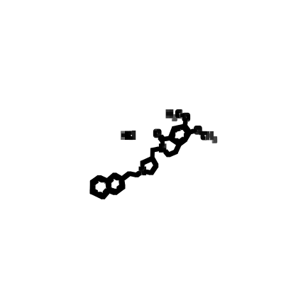 COc1cc2c(cc1OC)C(=O)N(CC1CCN(CCc3ccc4ccccc4c3)C1)CC2.Cl